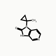 CC1(n2c(=O)[nH]c3cnccc32)CC1